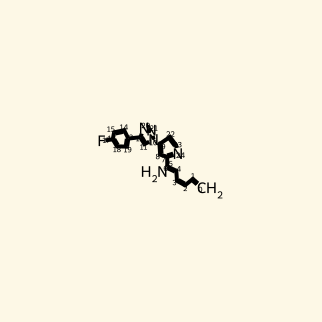 C=C/C=C\C=C(/N)c1cc(-n2cc(-c3ccc(F)cc3)nn2)ccn1